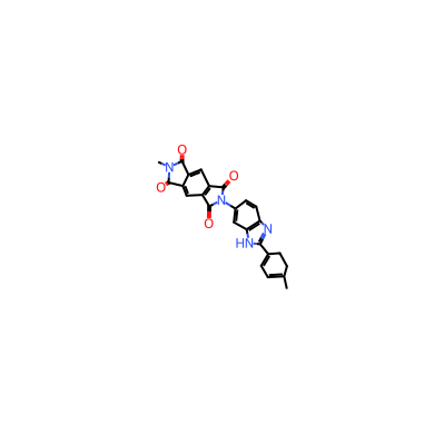 CC1=CC=C(c2nc3ccc(-n4c(=O)c5cc6c(=O)n(C)c(=O)c6cc5c4=O)cc3[nH]2)CC1